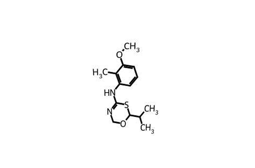 COc1cccc(NC2=NCOC(C(C)C)S2)c1C